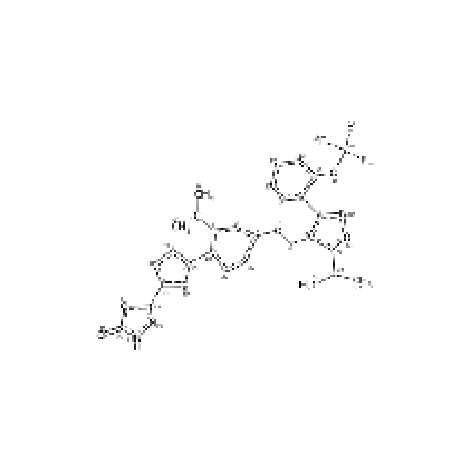 COc1cc(OCc2c(-c3ccccc3OC(F)(F)F)noc2C(C)C)ccc1-c1sc(-c2n[nH]c(=O)o2)cc1C